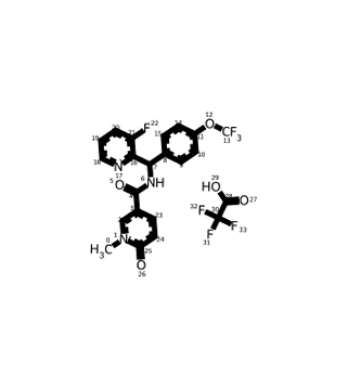 Cn1cc(C(=O)NC(c2ccc(OC(F)(F)F)cc2)c2ncccc2F)ccc1=O.O=C(O)C(F)(F)F